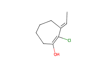 C/C=C1\CCCCC(O)=C1Cl